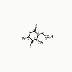 CC(C)[C@H]1C(=O)N(C(C)C)CC(=O)N1CC(=O)O